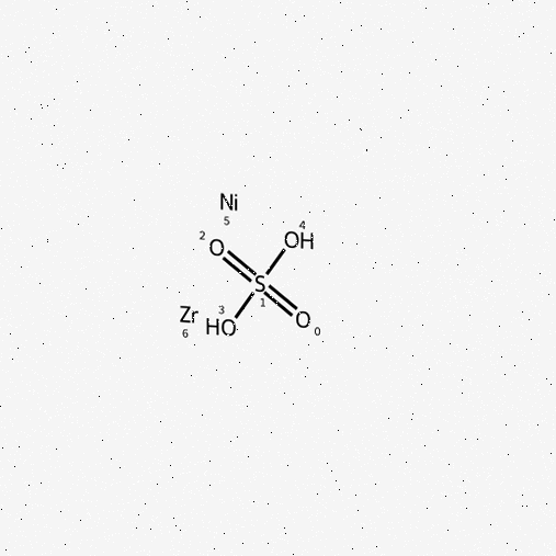 O=S(=O)(O)O.[Ni].[Zr]